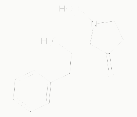 CC(Cc1ccccc1)[C@H]1C(=O)CCN1C(=O)O